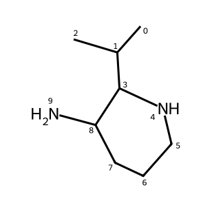 CC(C)C1NCCCC1N